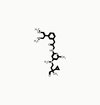 CN/C=C(\CNC)c1cccc(CC(=O)CNc2cc(N(C)CCC(C)(C=O)C3CC3)cc(C)n2)c1